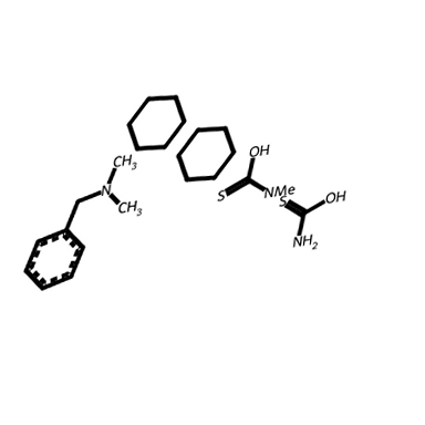 C1CCCCC1.C1CCCCC1.CN(C)Cc1ccccc1.CNC(O)=S.NC(O)=S